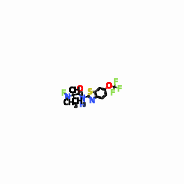 CN(F)C(C)(C)C(=O)Nc1nc2ccc(OC(F)(F)F)cc2s1